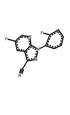 N#Cc1nn(-c2ccccc2F)c2ncc(F)cc12